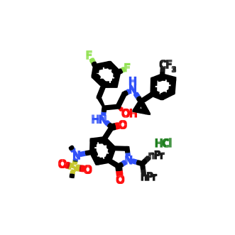 CCCC(CCC)N1Cc2c(C(=O)N[C@@H](Cc3cc(F)cc(F)c3)[C@H](O)CNC3(c4cccc(C(F)(F)F)c4)CC3)cc(N(C)S(C)(=O)=O)cc2C1=O.Cl